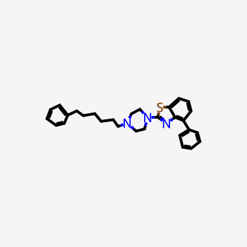 c1ccc(CCCCCCN2CCN(c3nc4c(-c5ccccc5)cccc4s3)CC2)cc1